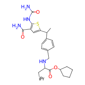 CC(C)CC(NCc1ccc(C(C)c2cc(C(N)=O)c(NC(N)=O)s2)cc1)C(=O)OC1CCCC1